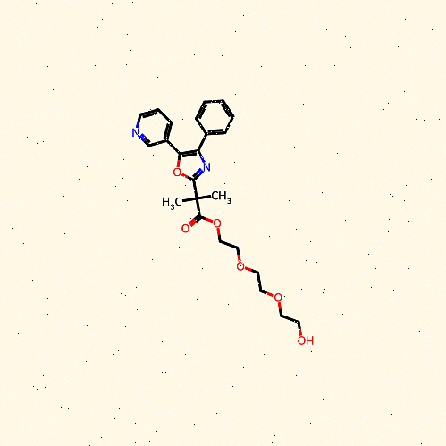 CC(C)(C(=O)OCCOCCOCCO)c1nc(-c2ccccc2)c(-c2cccnc2)o1